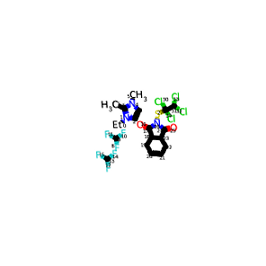 CC[n+]1ccn(C)c1C.FC(F)F.FC(F)F.O=C1C2CC=CCC2C(=O)N1SC(Cl)(Cl)C(Cl)Cl